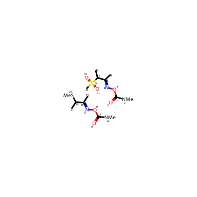 CNC(=O)O/N=C(\C)C(C)S(C)(=O)=O.CNC(=O)O/N=C(\C)C(C)SC